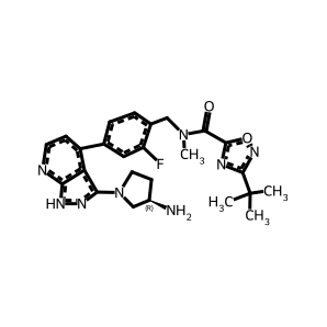 CN(Cc1ccc(-c2ccnc3[nH]nc(N4CC[C@@H](N)C4)c23)cc1F)C(=O)c1nc(C(C)(C)C)no1